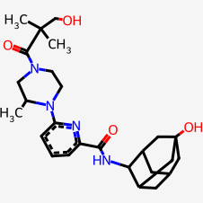 CC1CN(C(=O)C(C)(C)CO)CCN1c1cccc(C(=O)NC2C3CC4CC2CC(O)(C4)C3)n1